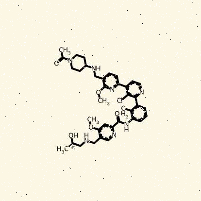 COc1cc(C(=O)Nc2cccc(-c3nccc(-c4ccc(CNC5CCN(C(C)=O)CC5)c(OC)n4)c3Cl)c2C)ncc1CNC[C@@H](C)O